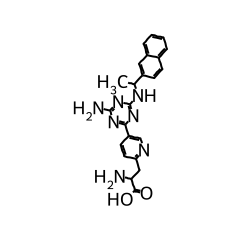 CC(Nc1nc(N)nc(-c2ccc(CC(N)C(=O)O)nc2)n1)c1ccc2ccccc2c1